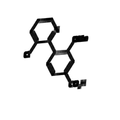 COc1cc(C(=O)O)ccc1-c1ncccc1Cl